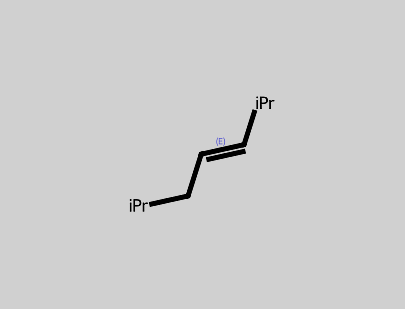 [CH2]C(C)C/C=C/C(C)C